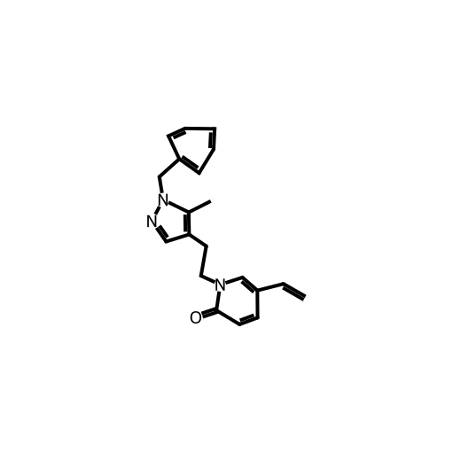 C=Cc1ccc(=O)n(CCc2cnn(Cc3ccccc3)c2C)c1